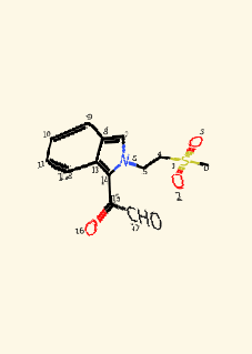 CS(=O)(=O)CCn1cc2ccccc2c1C(=O)C=O